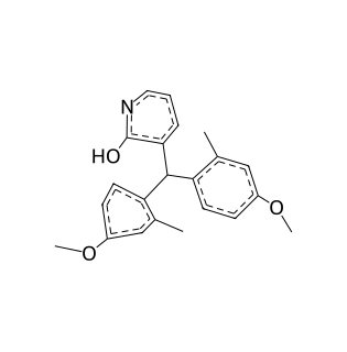 COc1ccc(C(c2ccc(OC)cc2C)c2cccnc2O)c(C)c1